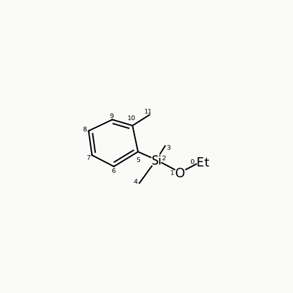 CCO[Si](C)(C)c1ccccc1C